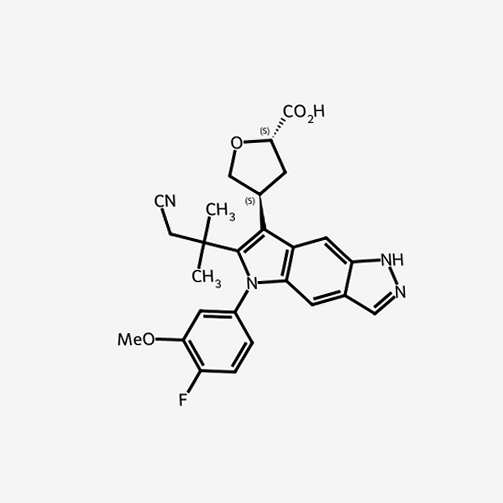 COc1cc(-n2c(C(C)(C)CC#N)c([C@H]3CO[C@H](C(=O)O)C3)c3cc4[nH]ncc4cc32)ccc1F